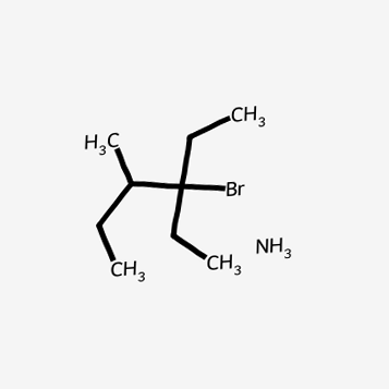 CCC(C)C(Br)(CC)CC.N